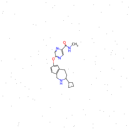 CNC(=O)c1cnc(Oc2ccc3c(c2)CCC(C2CCC2)NC3)cn1